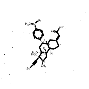 CCCC(=O)/C=C1/CC[C@@H]2[C@@H](C1)[C@@H](c1ccc(N(C)C(C)C)cc1)C[C@@]1(C)[C@H]2C[C@@H](C)[C@@]1(O)C#CC(C)(C)C